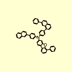 c1ccc(-c2ccc3cccc(-c4ccc(N(c5ccc(-c6ccc7ccccc7c6)cc5)c5ccc6c(c5)oc5c(-c7ccccc7)cccc56)cc4)c3c2)cc1